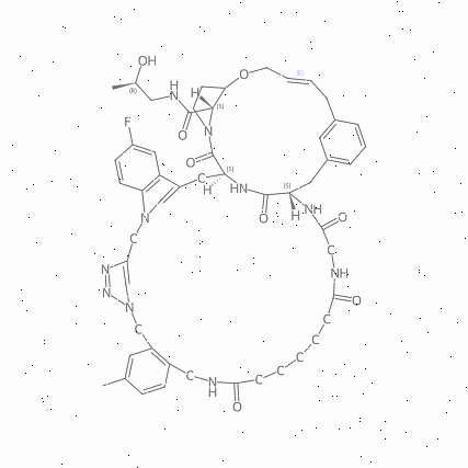 Cc1ccc2c(c1)Cn1cc(nn1)Cn1cc(c3cc(F)ccc31)C[C@@H]1NC(=O)[C@H](Cc3cccc(c3)C/C=C/COC3CCN(C1=O)[C@@H]3C(=O)NC[C@@H](C)O)NC(=O)CNC(=O)CCCCCC(=O)NC2